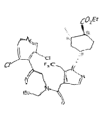 CCOC(=O)[C@H]1CC[C@H](n2ncc(C(=O)N(CC(=O)c3c(Cl)cncc3Cl)CC(C)(C)C)c2C(F)(F)F)C[C@@H]1C